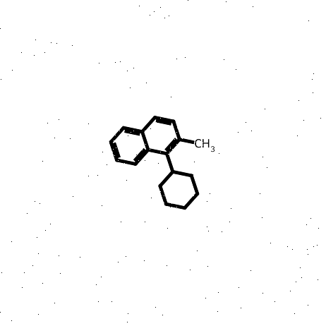 Cc1ccc2ccccc2c1C1CCCCC1